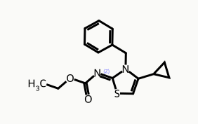 CCOC(=O)/N=c1\scc(C2CC2)n1Cc1ccccc1